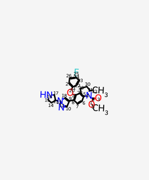 COC(=O)N1c2ccc(-c3cnn(C4CCNC4)c3)c(Oc3ccc(F)cc3)c2CCC1C